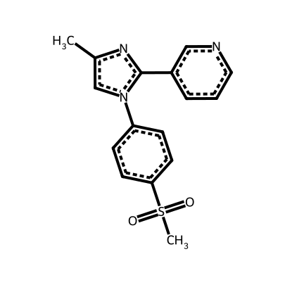 Cc1cn(-c2ccc(S(C)(=O)=O)cc2)c(-c2cccnc2)n1